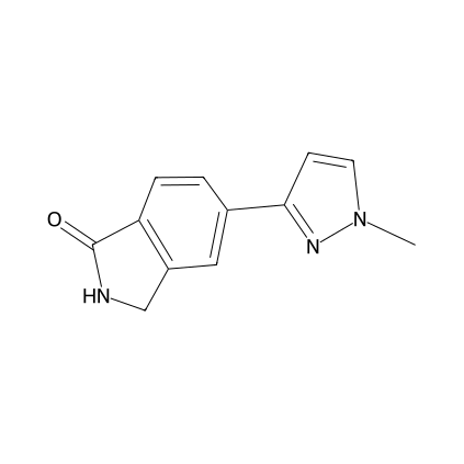 Cn1ccc(-c2ccc3c(c2)CNC3=O)n1